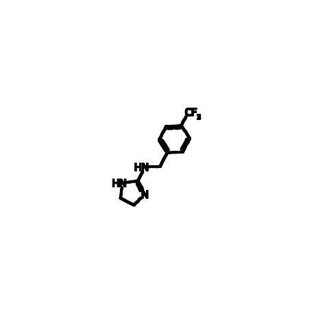 FC(F)(F)c1ccc(CNC2=NCCN2)cc1